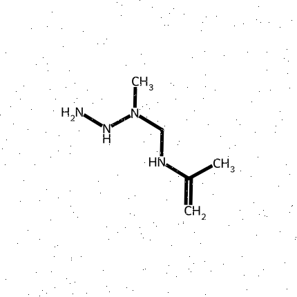 C=C(C)NCN(C)NN